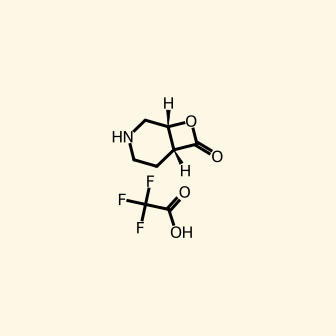 O=C(O)C(F)(F)F.O=C1O[C@H]2CNCC[C@@H]12